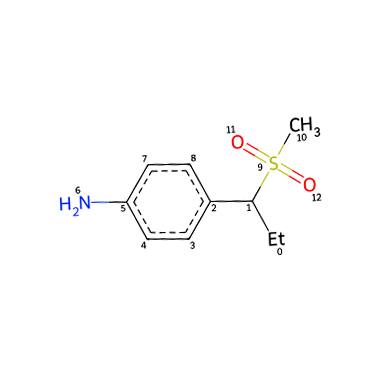 CCC(c1ccc(N)cc1)S(C)(=O)=O